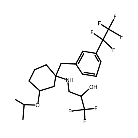 CC(C)OC1CCCC(Cc2cccc(C(F)(F)C(F)(F)F)c2)(NCC(O)C(F)(F)F)C1